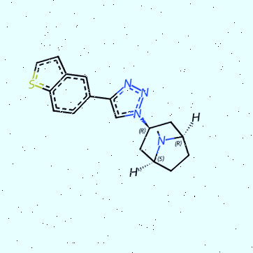 CN1[C@@H]2CC[C@H]1C[C@@H](n1cc(-c3ccc4sccc4c3)nn1)C2